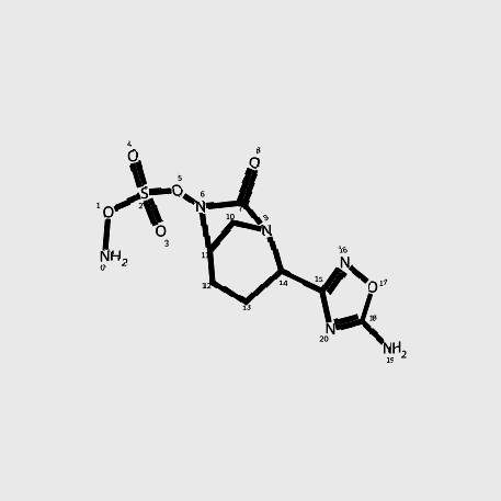 NOS(=O)(=O)ON1C(=O)N2CC1CCC2c1noc(N)n1